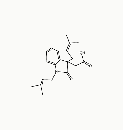 CC(C)=CCN1C(=O)C(CC=C(C)C)(CC(=O)O)c2ccccc21